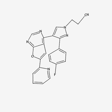 N#CCCn1cc(-c2ncnc3oc(-c4ccccn4)cc23)c(-c2ccc(F)cc2)n1